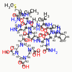 CSCC[C@H](NC(=O)[C@H](CC(C)C)NC(=O)[C@H](Cc1c[nH]cn1)NC(=O)CNC(=O)[C@@H](NC(=O)[C@H](C)NC(=O)[C@H](Cc1c[nH]c2ccccc12)NC(=O)[C@H](CCC(N)=O)NC(=O)c1ccc(OCC(O)CN2CCN(CC(=O)O)CCN(CC(=O)O)CCN(CC(=O)O)CC2)cc1)C(C)C)C(N)=O